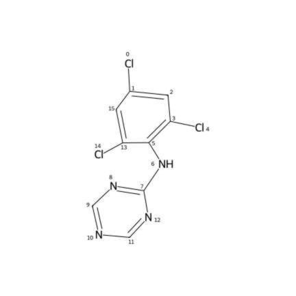 Clc1cc(Cl)c(Nc2ncncn2)c(Cl)c1